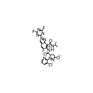 COC1=NN(c2ncccc2Cl)C(C(=O)Nc2c(C)cc3cn(-c4nc(F)nc(F)n4)nc3c2C(=O)NC(C)C)C1